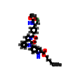 COCCCCOC(=O)c1cc2cc(NC(=O)[C@@H]3[C@@H](c4ccccc4)CCN3C(=O)[C@H]3CC[C@H]([C@@H](CF)NC(=O)OC(C)(C)C)CC3)ccc2[nH]1